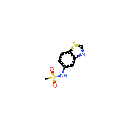 CS(=O)(=O)Nc1ccc2scnc2c1